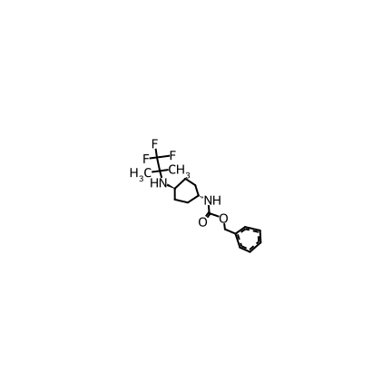 CC(C)(N[C@H]1CC[C@H](NC(=O)OCc2ccccc2)CC1)C(F)(F)F